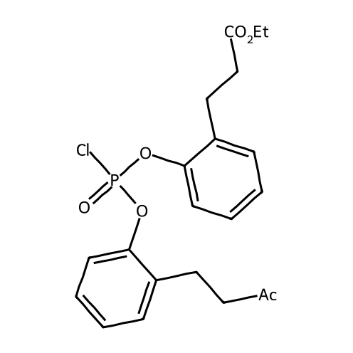 CCOC(=O)CCc1ccccc1OP(=O)(Cl)Oc1ccccc1CCC(C)=O